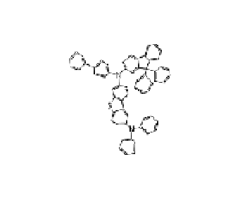 c1ccc(-c2ccc(N(c3ccc4c(c3)C(c3ccccc3)(c3ccccc3)c3ccccc3-4)c3ccc4c(c3)sc3ccc(N(c5ccccc5)c5ccccc5)cc34)cc2)cc1